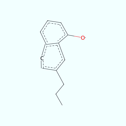 CCCc1ccc2cccc([O])c2c1